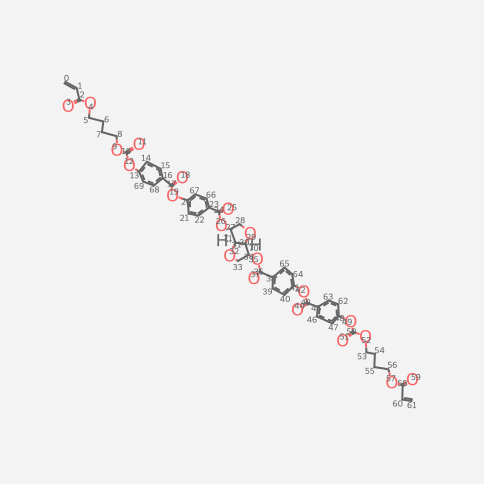 C=CC(=O)OCCCCOC(=O)Oc1ccc(C(=O)Oc2ccc(C(=O)O[C@@H]3CO[C@@H]4[C@H]3OC[C@H]4OC(=O)c3ccc(OC(=O)c4ccc(OC(=O)OCCCCOC(=O)C=C)cc4)cc3)cc2)cc1